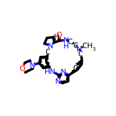 CN1CCNC(=O)[C@@H]2CCCN2Cc2cc(cc(N3CCOCC3)c2)Nc2nccc(n2)-c2ccc(cc2)C1